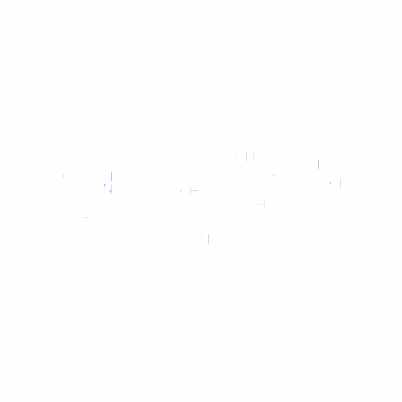 CC(C)NC(=O)CCC(C)(C)OCC(C)(C)OCC(C)(C)C